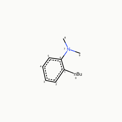 CCCCc1[c]cccc1N(C)C